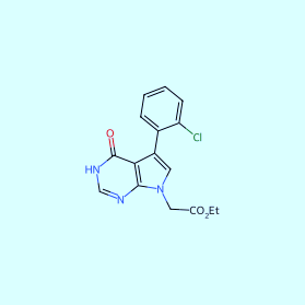 CCOC(=O)Cn1cc(-c2ccccc2Cl)c2c(=O)[nH]cnc21